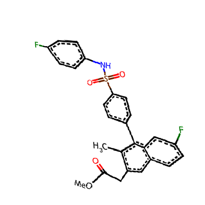 COC(=O)Cc1cc2ccc(F)cc2c(-c2ccc(S(=O)(=O)Nc3ccc(F)cc3)cc2)c1C